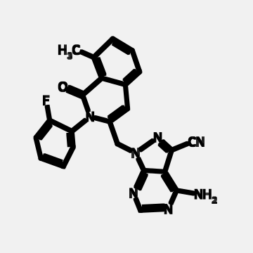 Cc1cccc2cc(Cn3nc(C#N)c4c(N)ncnc43)n(-c3ccccc3F)c(=O)c12